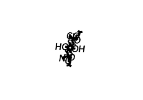 [C-]#[N+]C(C(=O)OCC(C)C)=C1Sc2c(O)c3c(c(O)c2S1)SC(=C(C#N)C(=O)OCC(C)C)S3